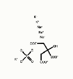 O=C([O-])CC(O)(CC(=O)[O-])C(=O)[O-].O=P([O-])([O-])[O-].[K+].[K+].[K+].[Na+].[Na+].[Na+]